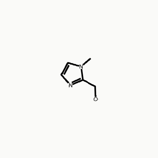 Cn1ccnc1C[O]